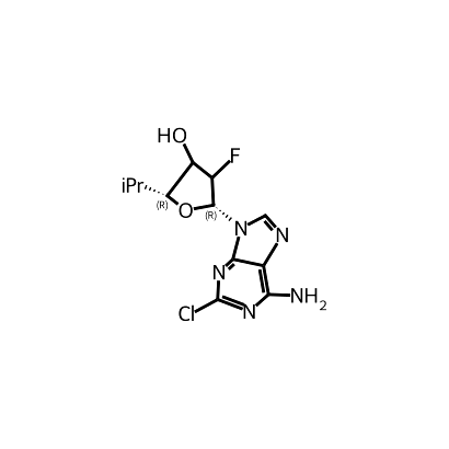 CC(C)[C@H]1O[C@@H](n2cnc3c(N)nc(Cl)nc32)C(F)C1O